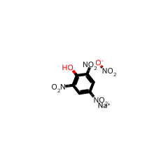 O=[N+]([O-])[O-].O=[N+]([O-])c1cc([N+](=O)[O-])c(O)c([N+](=O)[O-])c1.[Na+]